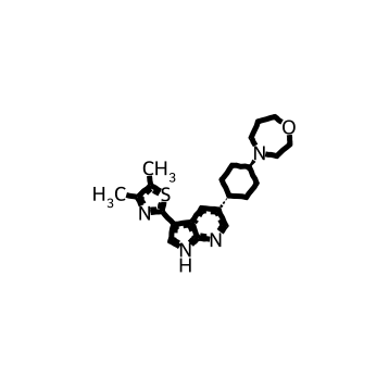 Cc1nc(-c2c[nH]c3ncc([C@H]4CC[C@H](N5CCCOCC5)CC4)cc23)sc1C